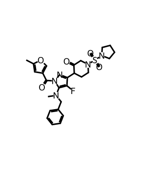 Cc1cc(C(=O)n2nc(C3CCN(S(=O)(=O)N4CCCC4)CC3=O)c(F)c2N(C)Cc2ccccc2)co1